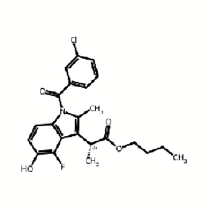 CCCCOC(=O)[C@H](C)c1c(C)n(C(=O)c2cccc(Cl)c2)c2ccc(O)c(F)c12